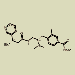 CNC(=O)c1ccc(C[C@@H](CNC(=O)C[C@@H](c2cccnc2)C(C)(C)C)N(C)C)c(C)c1